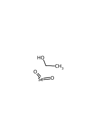 CCO.O=[Se]=O